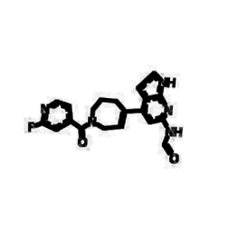 O=CNc1cc(C2=CCN(C(=O)c3ccnc(F)c3)CCC2)c2cc[nH]c2n1